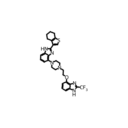 FC(F)(F)c1nc2c(OCCN3CCN(c4cccc5[nH]c(-c6csc7c6CCCC7)nc45)CC3)cccc2[nH]1